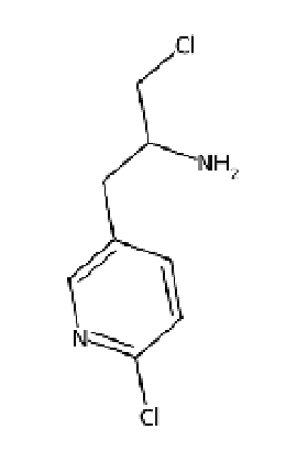 NC(CCl)Cc1ccc(Cl)nc1